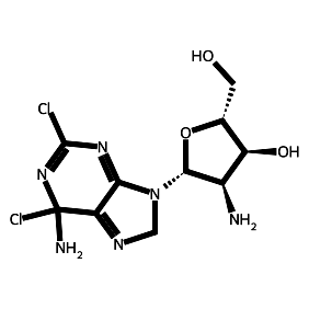 N[C@@H]1[C@H](O)[C@@H](CO)O[C@H]1N1CN=C2C1=NC(Cl)=NC2(N)Cl